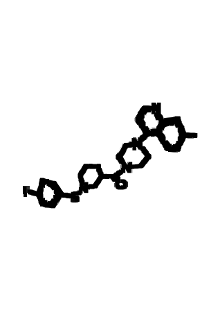 Cc1ccc2c(N3CCN(C(=O)C4CCCN(Sc5ccc(F)cc5)C4)CC3)ccnc2c1